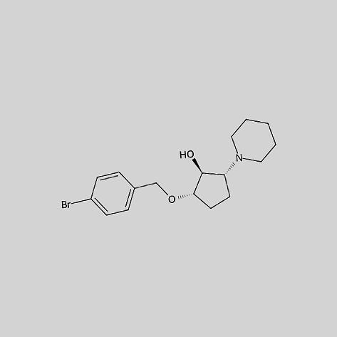 O[C@@H]1[C@@H](OCc2ccc(Br)cc2)CC[C@H]1N1CCCCC1